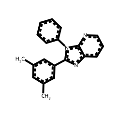 Cc1cc(C)cc(-c2nc3cccnc3n2-c2ccccc2)c1